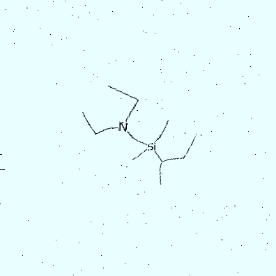 CCC(C)[Si](C)(C)N(CC)CC